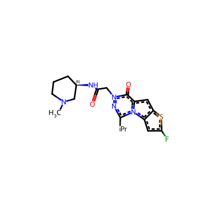 CC(C)c1nn(CC(=O)N[C@@H]2CCCN(C)C2)c(=O)c2cc3sc(F)cc3n12